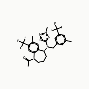 CC(=O)N1CCC[C@H](N(Cc2cc(C)cc(C(F)(F)F)c2)c2nnn(C)n2)c2cc(C)c(C(F)(F)F)cc21